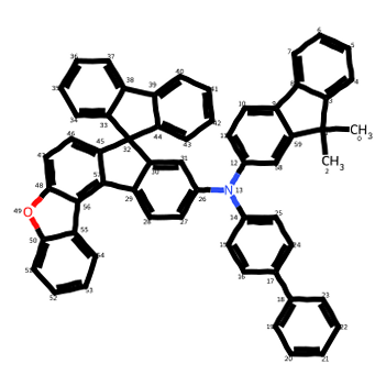 CC1(C)c2ccccc2-c2ccc(N(c3ccc(-c4ccccc4)cc3)c3ccc4c(c3)C3(c5ccccc5-c5ccccc53)c3ccc5oc6ccccc6c5c3-4)cc21